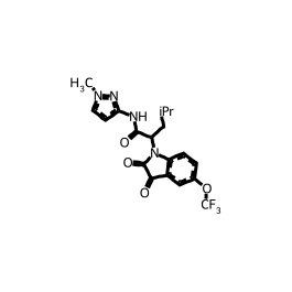 CC(C)CC(C(=O)Nc1ccn(C)n1)N1C(=O)C(=O)c2cc(OC(F)(F)F)ccc21